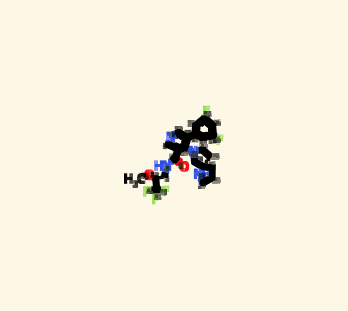 CO[C@H](CNC(=O)c1cncc(-c2cc(F)cc(F)c2)c1N1CC[C@@]2(CCCN2)C1)C(F)(F)F